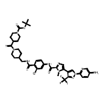 Cn1c(-c2cn(-c3ccc(N)cn3)nc2C(F)(F)F)cnc1C(=O)Nc1ccc(C(=O)NCC2CCN(C(=O)C3CCN(C(=O)OC(C)(C)C)CC3)CC2)c(Cl)c1